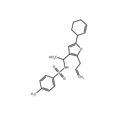 C=CCc1oc(C2C=CCCC2)cc1C(NS(=O)(=O)c1ccc(C)cc1)C(=O)O